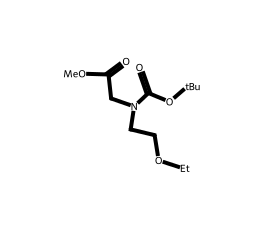 CCOCCN(CC(=O)OC)C(=O)OC(C)(C)C